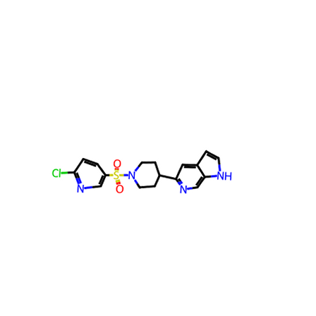 O=S(=O)(c1ccc(Cl)nc1)N1CCC(c2cc3cc[nH]c3cn2)CC1